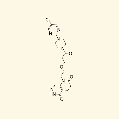 O=C(CCOCCN1C(=O)CCc2c1cn[nH]c2=O)N1CCN(c2ncc(Cl)cn2)CC1